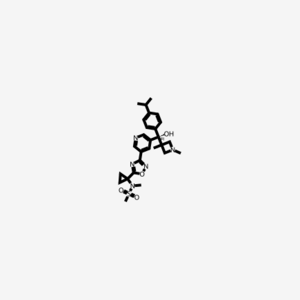 CC(C)c1ccc([C@](O)(c2cncc(-c3noc(C4(N(C)S(C)(=O)=O)CC4)n3)c2)C2(C)CN(C)C2)cc1